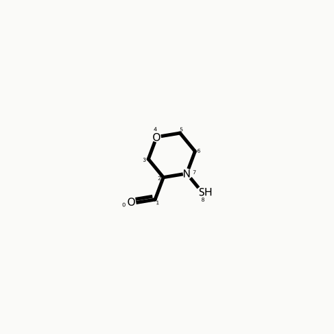 O=CC1COCCN1S